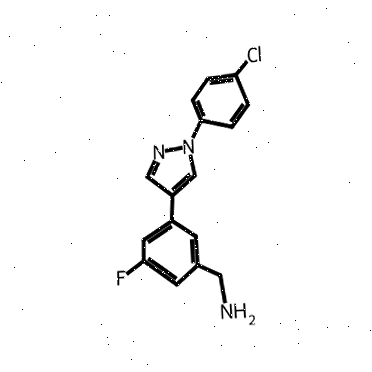 NCc1cc(F)cc(-c2cnn(-c3ccc(Cl)cc3)c2)c1